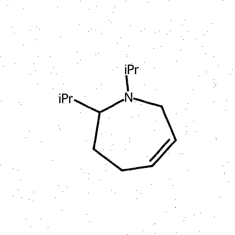 CC(C)C1CCC=CCN1C(C)C